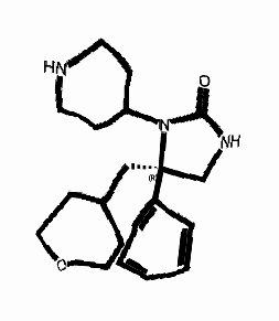 O=C1NC[C@@](CC2CCOCC2)(c2ccccc2)N1C1CCNCC1